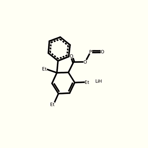 CCC1=CC(CC)(c2ccccc2)C(C(=O)OP=O)C(CC)=C1.[LiH]